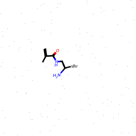 C=C(C)C(=O)NCC(N)CCCC